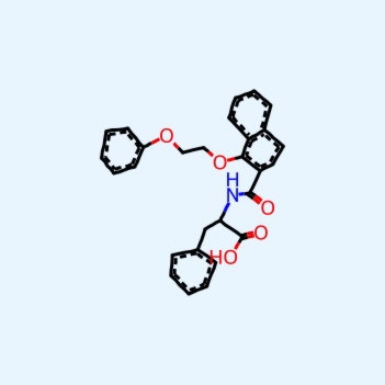 O=C(NC(Cc1ccccc1)C(=O)O)c1ccc2ccccc2c1OCCOc1ccccc1